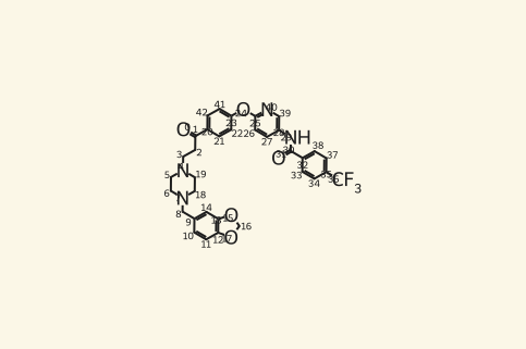 O=C(CCN1CCN(Cc2ccc3c(c2)OCO3)CC1)c1ccc(Oc2ccc(NC(=O)c3ccc(C(F)(F)F)cc3)cn2)cc1